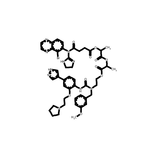 COc1cccc(CN(CCOC(=O)C(C)OC(=O)C(C)OC(=O)CCC(=O)N(C2=NCCN2)c2ccc3nccnc3c2Br)C(=O)Nc2ccc(-c3cn[nH]c3)cc2OCCN2CCCC2)c1